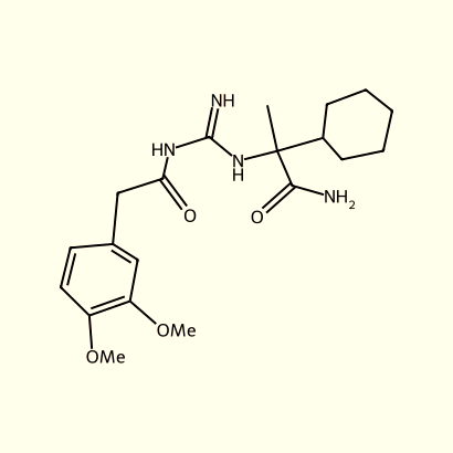 COc1ccc(CC(=O)NC(=N)NC(C)(C(N)=O)C2CCCCC2)cc1OC